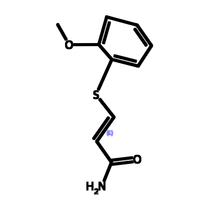 COc1ccccc1S/C=C/C(N)=O